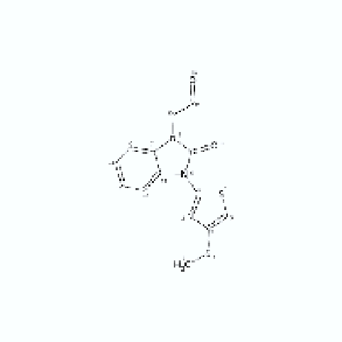 CSc1csc(-n2c(=O)n(CC=O)c3ccccc32)n1